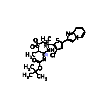 CC1/C(=N\C(=O)OC(C)(C)C)N[C@](C)(c2sc(-c3cn4ccccc4n3)cc2Cl)CS1(=O)=O